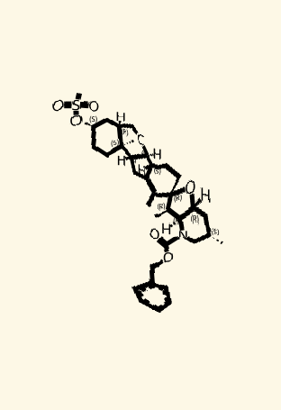 CC1=C2C[C@H]3[C@@H](CC[C@@H]4C[C@@H](OS(C)(=O)=O)CC[C@@]43C)[C@@H]2CC[C@]12O[C@@H]1C[C@H](C)CN(C(=O)OCc3ccccc3)[C@H]1[C@H]2C